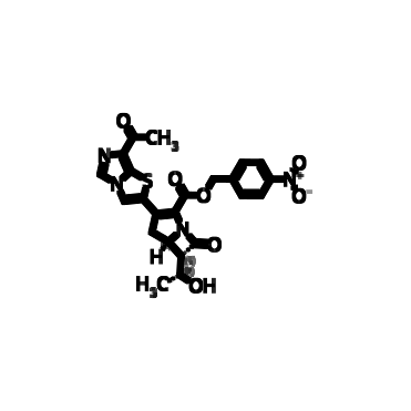 CC(=O)c1ncn2cc(C3=C(C(=O)OCc4ccc([N+](=O)[O-])cc4)N4C(=O)[C@H]([C@@H](C)O)[C@H]4C3)sc12